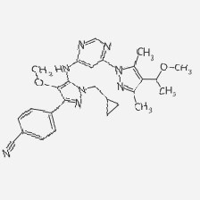 COc1c(-c2ccc(C#N)cc2)nn(CC2CC2)c1Nc1cc(-n2nc(C)c(C(C)OC)c2C)ncn1